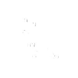 CC(C)(C)OC(=O)NCc1nn[c]o1